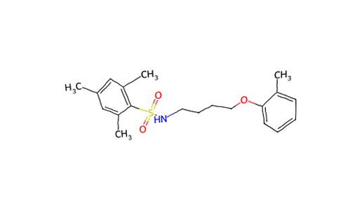 Cc1cc(C)c(S(=O)(=O)NCCCCOc2ccccc2C)c(C)c1